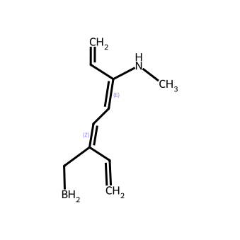 BC/C(C=C)=C/C=C(\C=C)NC